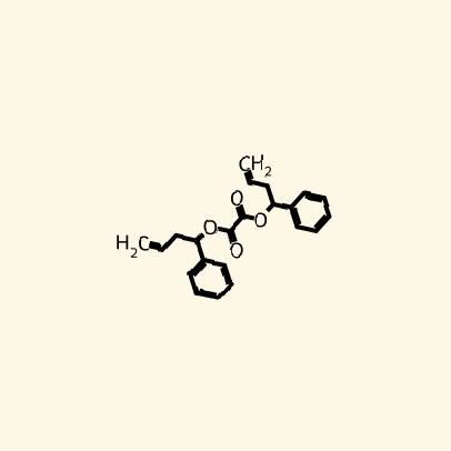 C=CCC(OC(=O)C(=O)OC(CC=C)c1ccccc1)c1ccccc1